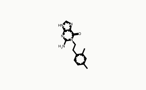 Cc1ccc(CCn2c(N)nc3[nH]cnc3c2=O)c(C)c1